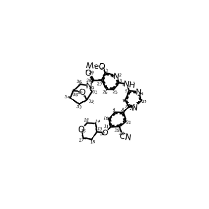 COc1nc(Nc2cc(-c3ccc(OC4CCOCC4)c(C#N)c3)ncn2)ccc1C(=O)N1CC2CCC(C1)O2